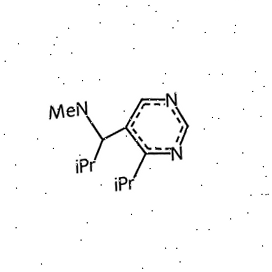 CNC(c1cncnc1C(C)C)C(C)C